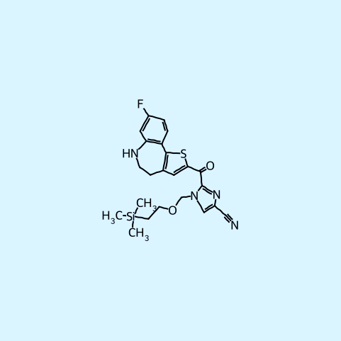 C[Si](C)(C)CCOCn1cc(C#N)nc1C(=O)c1cc2c(s1)-c1ccc(F)cc1NCC2